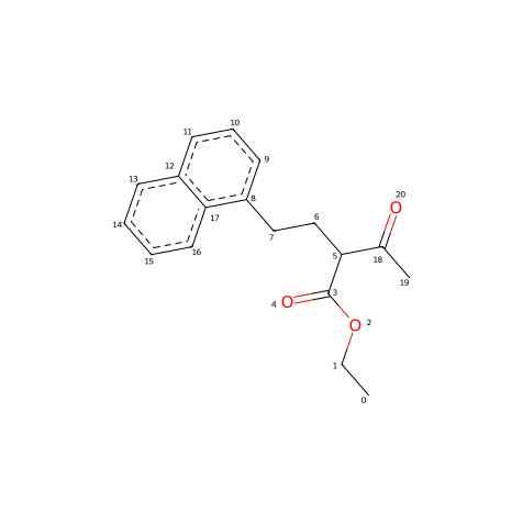 CCOC(=O)C(CCc1cccc2ccccc12)C(C)=O